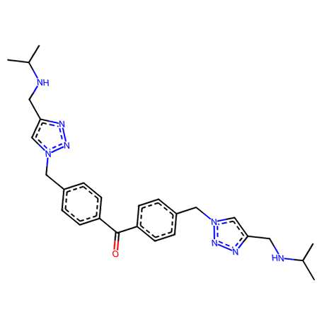 CC(C)NCc1cn(Cc2ccc(C(=O)c3ccc(Cn4cc(CNC(C)C)nn4)cc3)cc2)nn1